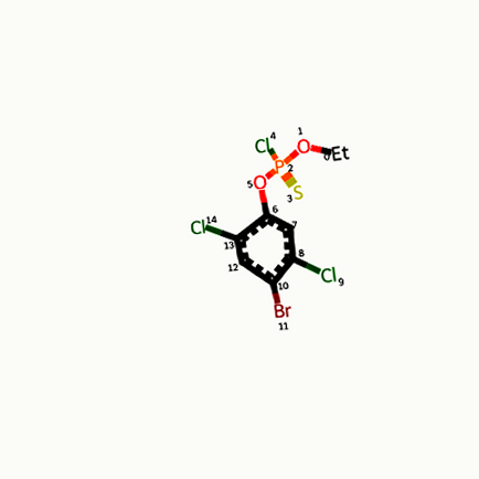 CCOP(=S)(Cl)Oc1cc(Cl)c(Br)cc1Cl